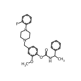 COc1cc(CN2CCN(c3ccccc3F)CC2)ccc1OC(=O)NC(C)c1ccccc1